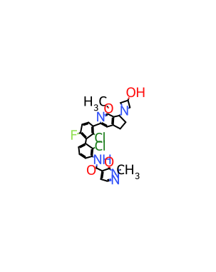 COc1nc(-c2ccc(F)c(-c3cccc(NC(=O)c4ccnn(C)c4=O)c3Cl)c2Cl)cc2c1C(N1CC(O)C1)CC2